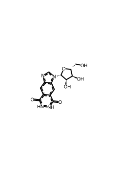 O=c1[nH][nH]c(=O)c2cc3c(cc12)ncn3[C@@H]1O[C@H](CO)[C@@H](O)[C@H]1O